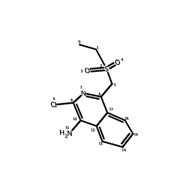 CCS(=O)(=O)Cc1nc(Cl)c(N)c2ccccc12